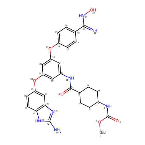 CC(C)(C)OC(=O)NC1CCC(C(=O)Nc2cc(Oc3ccc(C(=N)NO)cc3)cc(Oc3ccc4[nH]c(N)nc4c3)c2)CC1